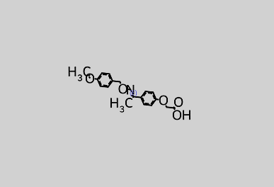 COc1ccc(CO/N=C(\C)c2ccc(OCC(=O)O)cc2)cc1